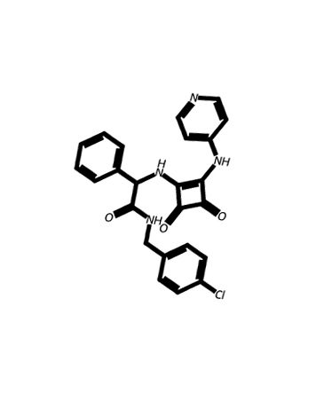 O=C(NCc1ccc(Cl)cc1)C(Nc1c(Nc2ccncc2)c(=O)c1=O)c1ccccc1